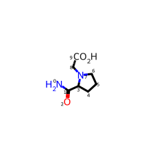 NC(=O)C1CCCN1CC(=O)O